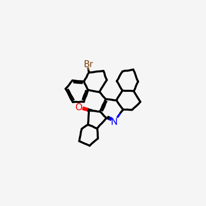 O=C1C2=C(C3CCC(Br)c4ccccc43)C3C(CCC4CCCCC43)N=C2C2CCCCC12